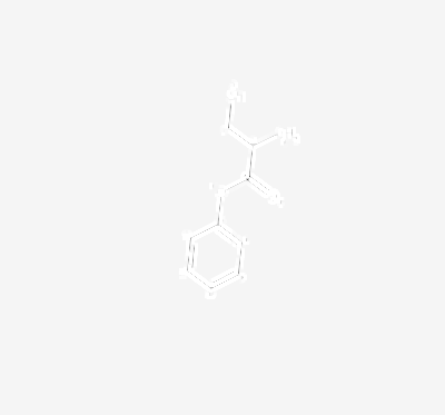 CC(CS)C(=O)Oc1ccccc1